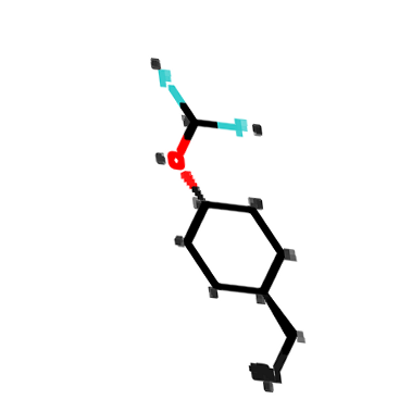 CC(C)(C)C[C@H]1CC[C@H](OC(F)F)CC1